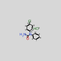 Cl.NC(=O)N(c1ccccc1)c1ccc(Cl)cc1